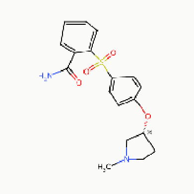 CN1CC[C@@H](Oc2ccc(S(=O)(=O)c3ccccc3C(N)=O)cc2)C1